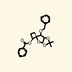 CC1(C)OC2O[C@@]3(CC[C@@H]3OC(=O)c3ccccc3)C(OCc3ccccc3)C2O1